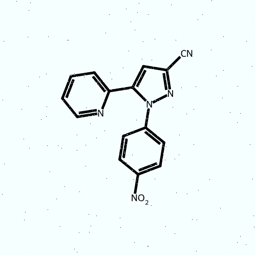 N#Cc1cc(-c2ccccn2)n(-c2ccc([N+](=O)[O-])cc2)n1